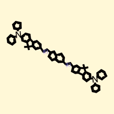 CC1(C)c2cc(/C=C/c3ccc4cc(/C=C/c5ccc6c(c5)C(C)(C)c5cc(N(c7ccccc7)c7ccccc7)ccc5-6)ccc4c3)ccc2-c2ccc(N(c3ccccc3)c3ccccc3)cc21